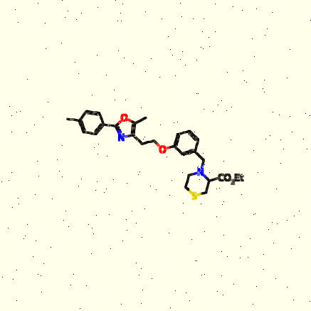 CCOC(=O)C1CSCCN1Cc1cccc(OCCc2nc(-c3ccc(C)cc3)oc2C)c1